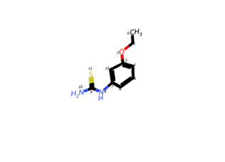 CCOc1cccc(NC(N)=S)c1